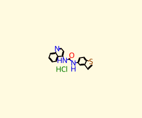 Cl.O=C(Nc1ccc2sccc2c1)Nc1ccnc2ccccc12